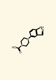 O=C(O)N1CCN(c2ccc3[nH]ncc3c2)CC1